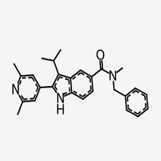 Cc1cc(-c2[nH]c3ccc(C(=O)N(C)Cc4ccccc4)cc3c2C(C)C)cc(C)n1